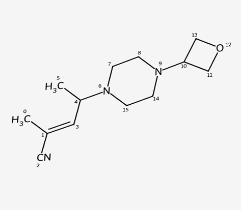 CC(C#N)=CC(C)N1CCN(C2COC2)CC1